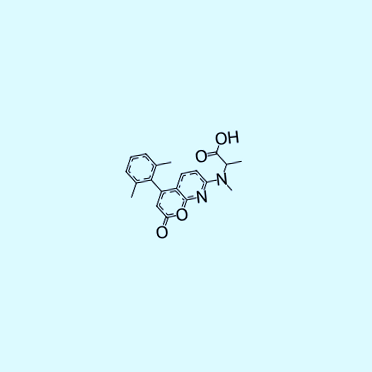 Cc1cccc(C)c1-c1cc(=O)oc2nc(N(C)C(C)C(=O)O)ccc12